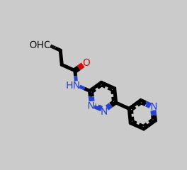 O=CCCC(=O)Nc1ccc(-c2cccnc2)nn1